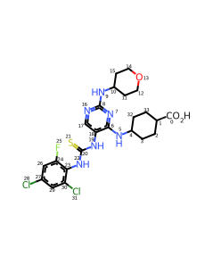 O=C(O)C1CCC(Nc2nc(NC3CCOCC3)ncc2NC(=S)Nc2c(F)cc(Cl)cc2Cl)CC1